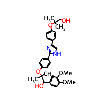 COc1ccc(C(O)C(C)(C)Oc2ccc(-c3nc(-c4ccc(OC(C)(C)CO)cc4)c[nH]3)cc2)cc1OC